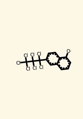 [O]c1cccc2cc(C(Cl)(Cl)C(Cl)(Cl)C(Cl)(Cl)Cl)ccc12